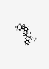 O=C(O)N[C@@H](Cc1ccncc1)C(=O)Nc1ccc2oc3c(c2c1)CCCCC3